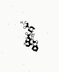 C=CC(=O)N1CCC[C@@H](NC(=O)c2sc3nccc4c3c2NC(=O)N4c2ccccc2F)C1